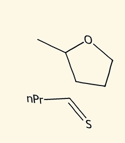 CC1CCCO1.CCCC=S